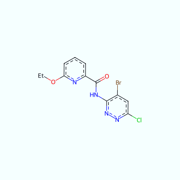 CCOc1cccc(C(=O)Nc2nnc(Cl)cc2Br)n1